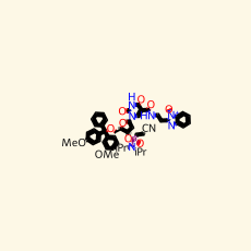 COc1ccc(C(OC[C@H]2O[C@@H](n3cc(C(=O)NCCC4=Nc5ccccc5[N+]4=O)c(=O)[nH]c3=O)C[C@@H]2OP(=O)(CCC#N)N(C(C)C)C(C)C)(c2ccccc2)c2ccc(OC)cc2)cc1